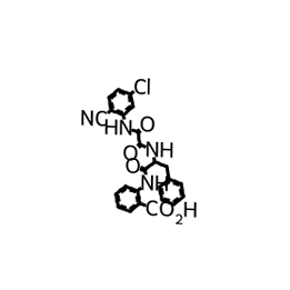 N#Cc1ccc(Cl)cc1NC(=O)C(=O)NC(Cc1ccccc1)C(=O)Nc1ccccc1C(=O)O